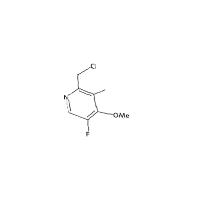 COc1c(F)cnc(CCl)c1C